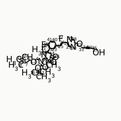 CN1C(N(COCC[Si](C)(C)C)C(=O)OC(C)(C)C)=N[C@](C)(c2cc(/C=C(\F)c3cnc(OCC#CCO)cn3)ccc2F)CS1(=O)=O